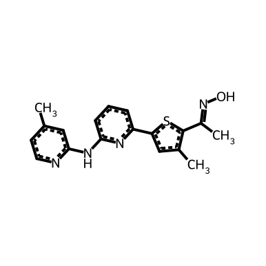 CC(=NO)c1sc(-c2cccc(Nc3cc(C)ccn3)n2)cc1C